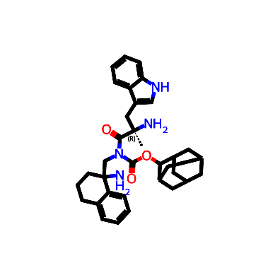 C[C@@](N)(Cc1c[nH]c2ccccc12)C(=O)N(CC1(N)CCCc2ccccc21)C(=O)OC1C2CC3CC(C2)CC1C3